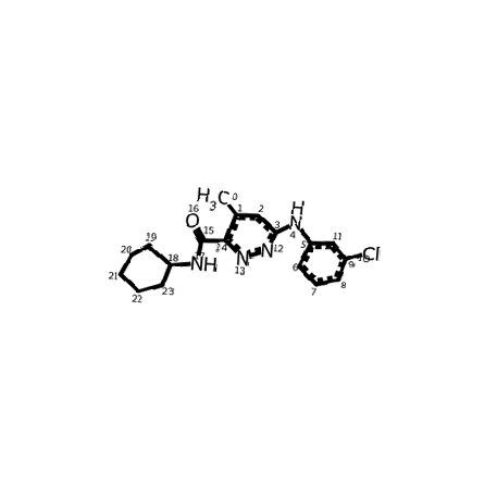 Cc1cc(Nc2cccc(Cl)c2)nnc1C(=O)NC1CCCCC1